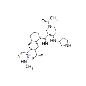 CN/C=C(\C=N)c1cc2c(cc1C(F)F)N(C(=N)C1=C(NC3CCNC3)CCN(C(C)=O)C1)CCC2